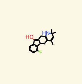 CC1=CC(C)(C)NC2=C1CC1C(=C(O)c3cccc(F)c31)C2